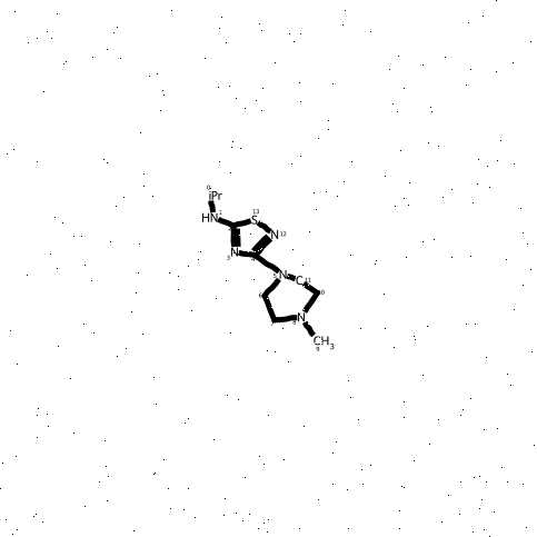 CC(C)Nc1nc(N2CCN(C)CC2)ns1